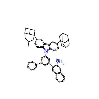 CC1CC2CC3CC(c4ccc5c(c4)c4cc(C67CC8CC(CC(C8)C6)C7)ccc4n5-c4cc(-c5ccccc5)cc(-c5cc6ccccc6cc5N)c4)(C1)C23